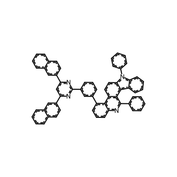 c1ccc(-c2nc3cccc(-c4cccc(-c5nc(-c6ccc7ccccc7c6)cc(-c6ccc7ccccc7c6)n5)c4)c3c3ccc4c(c5ccccc5n4-c4ccccc4)c23)cc1